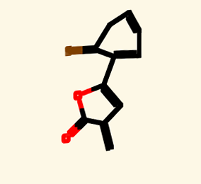 C=C1C=C(C2=CC=CCC2=S)OC1=O